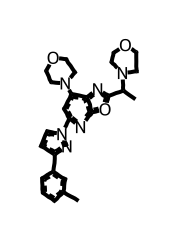 Cc1cccc(-c2ccn(-c3cc(N4CCOCC4)c4nc(C(C)N5CCOCC5)oc4n3)n2)c1